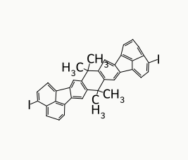 CC1(C)c2cc3c(cc2C(C)(C)c2cc4c(cc21)-c1ccc(I)c2cccc-4c12)-c1ccc(I)c2cccc-3c12